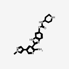 Cn1cc(-c2cnc(N)c(-c3nc4ccc(OC(=O)NC5CCNCC5)cc4[nH]3)c2)cn1